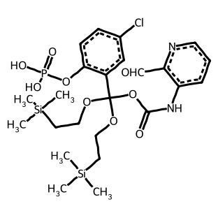 C[Si](C)(C)CCOC(OCC[Si](C)(C)C)(OC(=O)Nc1cccnc1C=O)c1cc(Cl)ccc1OP(=O)(O)O